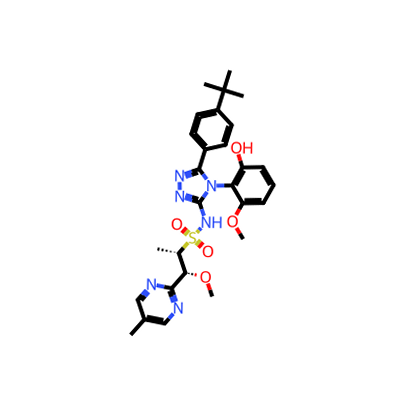 COc1cccc(O)c1-n1c(NS(=O)(=O)[C@@H](C)[C@H](OC)c2ncc(C)cn2)nnc1C1=C=C=C(C(C)(C)C)C=C1